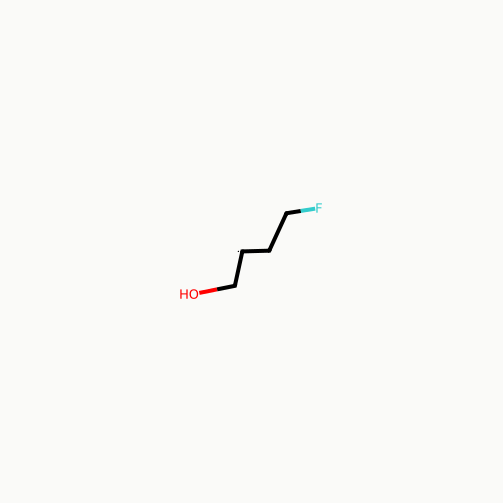 OC[CH]CCF